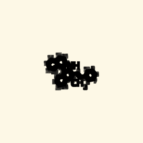 Cc1c(/C=C/c2ccccc2)c2[nH]c3ccc4ccccc4c3c2c2ccccc12